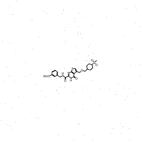 COc1cccc(CNC(=O)c2nc3scc(COCC4CCC(S(C)(=O)=O)CC4)c3c(=O)[nH]2)c1